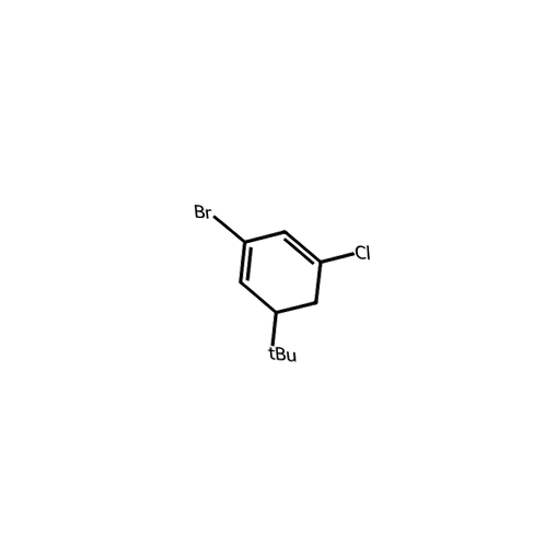 CC(C)(C)C1C=C(Br)C=C(Cl)C1